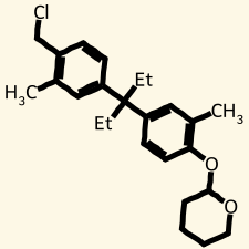 CCC(CC)(c1ccc(CCl)c(C)c1)c1ccc(OC2CCCCO2)c(C)c1